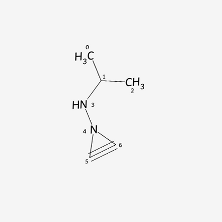 CC(C)NN1C#C1